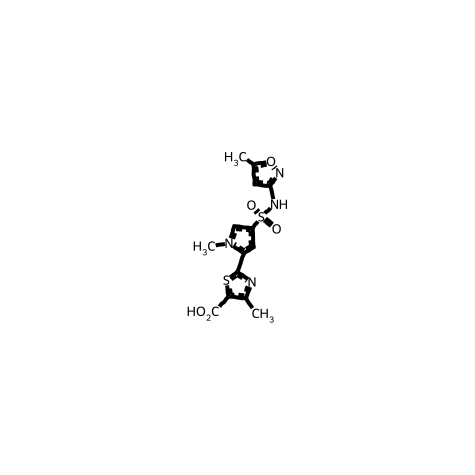 Cc1cc(NS(=O)(=O)c2cc(-c3nc(C)c(C(=O)O)s3)n(C)c2)no1